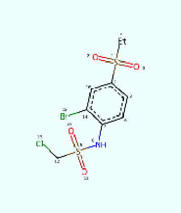 CCS(=O)(=O)c1ccc(NS(=O)(=O)CCl)c(Br)c1